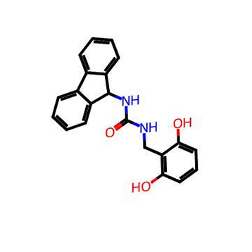 O=C(NCc1c(O)cccc1O)NC1c2ccccc2-c2ccccc21